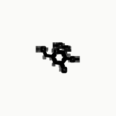 CCO.O=c1cc(CO)occ1O